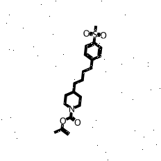 C=C(C)OC(=O)N1CCC(CCCCc2ccc(S(C)(=O)=O)cc2)CC1